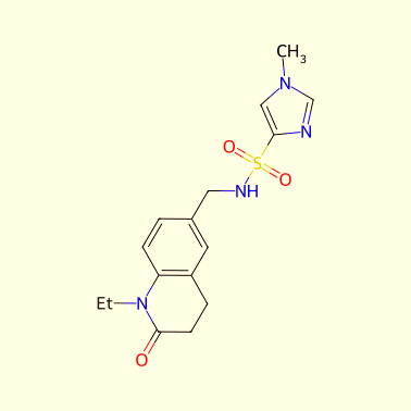 CCN1C(=O)CCc2cc(CNS(=O)(=O)c3cn(C)cn3)ccc21